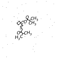 CC(C)C(=O)CSSC1(COC(=O)C(C)C)CCC1